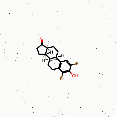 C[C@]12CC[C@@H]3c4cc(Br)c(O)c(Br)c4CC[C@H]3[C@@H]1CCC2=O